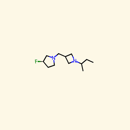 CCC(C)N1CC(CN2CC[C@@H](F)C2)C1